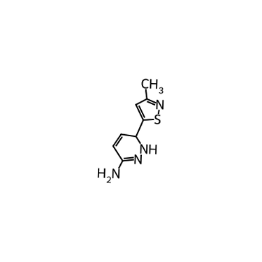 Cc1cc(C2C=CC(N)=NN2)sn1